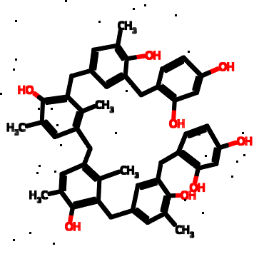 Cc1cc(Cc2c(C)c(Cc3cc(C)c(O)c(Cc4cc(C)c(O)c(Cc5ccc(O)cc5O)c4)c3C)cc(C)c2O)cc(Cc2ccc(O)cc2O)c1O